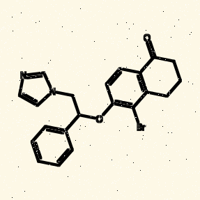 O=C1CCCc2c1ccc(OC(Cn1ccnc1)c1ccccc1)c2Br